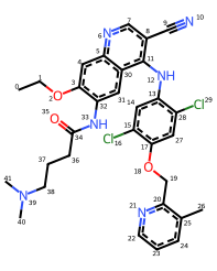 CCOc1cc2ncc(C#N)c(Nc3cc(Cl)c(OCc4ncccc4C)cc3Cl)c2cc1NC(=O)CCCN(C)C